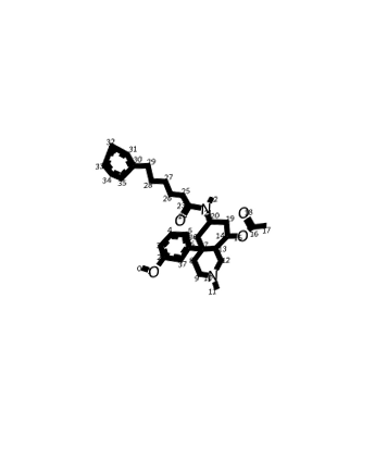 COc1cccc(C23CCN(C)CC2C(OC(C)=O)CC(N(C)C(=O)CCCCCc2ccccc2)C3)c1